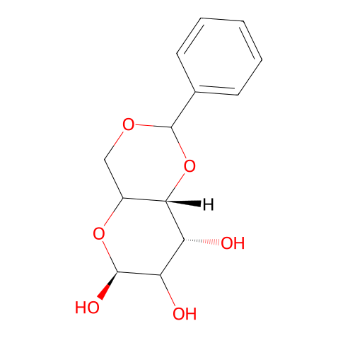 OC1[C@@H](O)[C@H]2OC(c3ccccc3)OCC2O[C@@H]1O